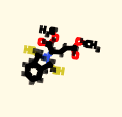 COC(=O)CCC(C(=O)OC)N1C(S)c2ccccc2C1S